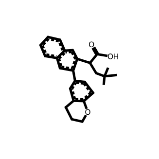 CC(C)(C)CC(C(=O)O)c1cc2ccccc2cc1-c1ccc2c(c1)CCCO2